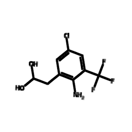 Nc1c(CC(O)O)cc(Cl)cc1C(F)(F)F